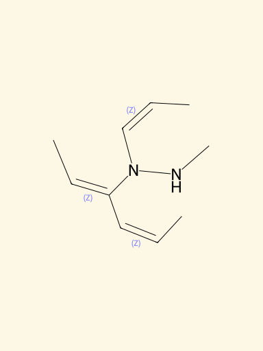 C/C=C\C(=C\C)N(/C=C\C)NC